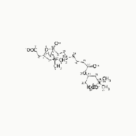 C[N+](C)(C)CC(CC(=O)[O-])OC(=O)CCSSCCC(=O)OC(CC(=O)[O-])C[N+](C)(C)C